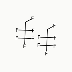 FCC(F)(F)C(F)(F)F.FCC(F)(F)C(F)(F)F